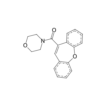 O=C(C1=Cc2ccccc2Oc2ccccc21)N1CCOCC1